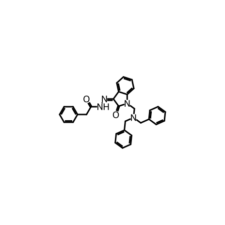 O=C(Cc1ccccc1)N/N=C1\C(=O)N(CN(Cc2ccccc2)Cc2ccccc2)c2ccccc21